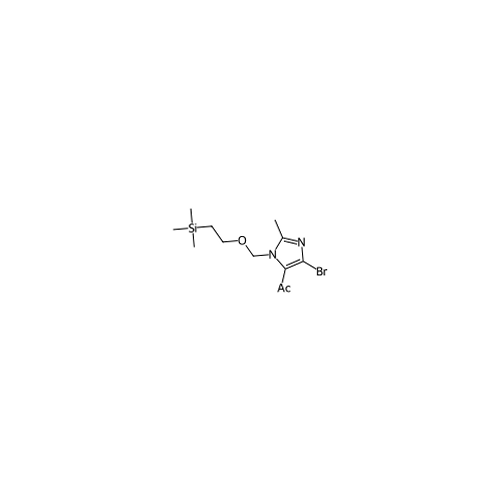 CC(=O)c1c(Br)nc(C)n1COCC[Si](C)(C)C